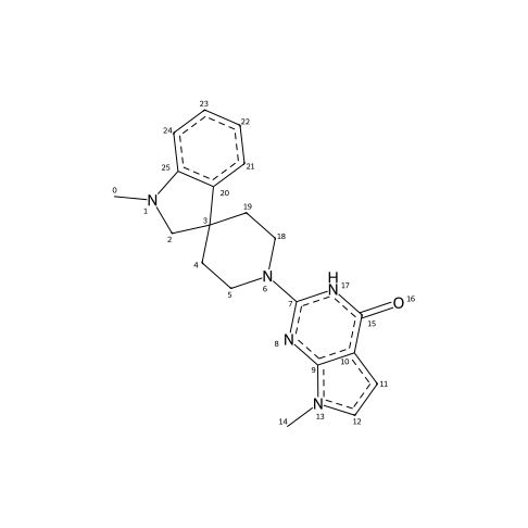 CN1CC2(CCN(c3nc4c(ccn4C)c(=O)[nH]3)CC2)c2ccccc21